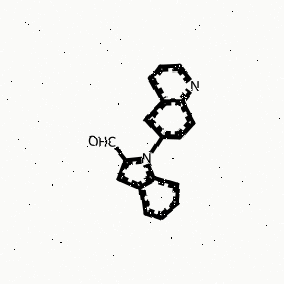 O=Cc1cc2ccccc2n1-c1ccc2ncccc2c1